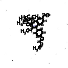 CC/C(B1OC(C)(C)C(C)(C)O1)=C(/c1ccc(C=O)cc1)c1ccc(OCOC)cc1